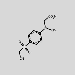 CCCN(CC(=O)O)c1ccc(S(=O)(=O)CC#N)cc1